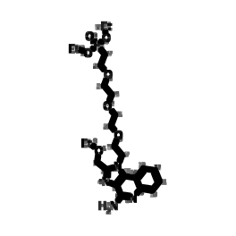 CCOCc1nc2c(N)nc3ccccc3c2n1CCOCCOCCOCCP(=O)(OCC)OCC